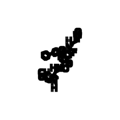 COc1ccc2[nH]cc(CCNC(=O)c3cn4c5c(c(NCCCN6CCOCC6)c(F)cc5c3=O)Oc3ccc(-c5ccccc5)cc3-4)c2c1